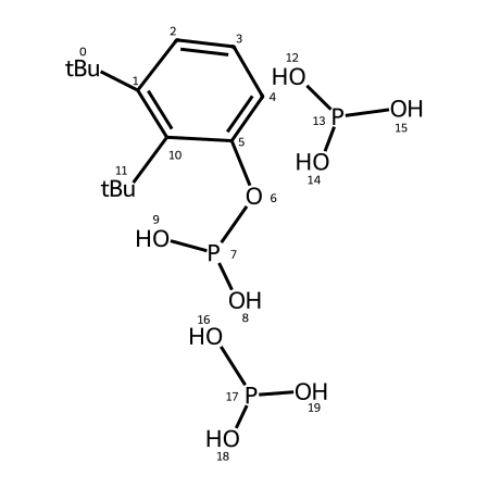 CC(C)(C)c1cccc(OP(O)O)c1C(C)(C)C.OP(O)O.OP(O)O